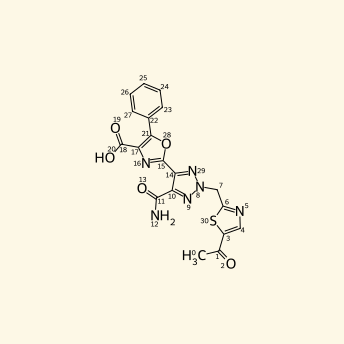 CC(=O)c1cnc(Cn2nc(C(N)=O)c(-c3nc(C(=O)O)c(-c4ccccc4)o3)n2)s1